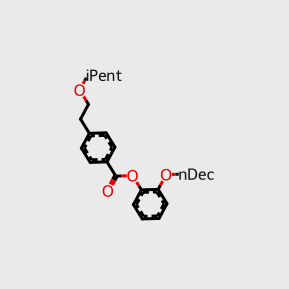 CCCCCCCCCCOc1ccccc1OC(=O)c1ccc(CCOC(C)CCC)cc1